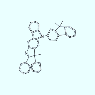 CC1(C)c2ccccc2-c2ccc(-n3c4ccccc4c4cc5c(cc43)C(C)(c3ccccc3)C(c3ccccc3)=N5)cc21